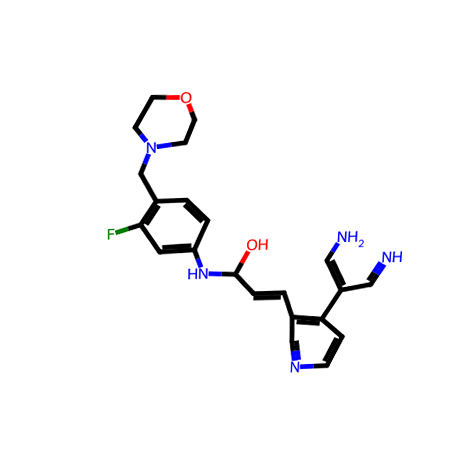 N=C/C(=C\N)c1ccncc1/C=C/C(O)Nc1ccc(CN2CCOCC2)c(F)c1